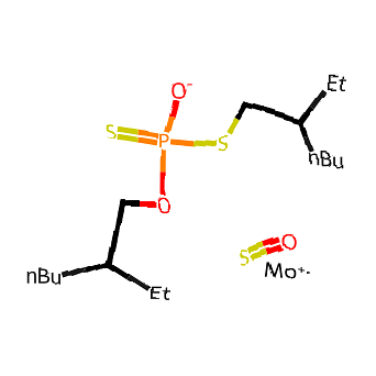 CCCCC(CC)COP([O-])(=S)SCC(CC)CCCC.O=S.[Mo+]